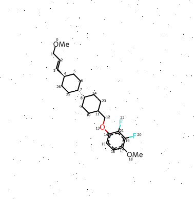 COC/C=C/[C@H]1CC[C@H](C2CCC(COc3ccc(OC)c(F)c3F)CC2)CC1